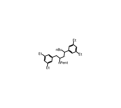 CCCCCC([CH]C(CCCC)c1cc(CC)cc(CC)c1)Cc1cc(CC)cc(CC)c1